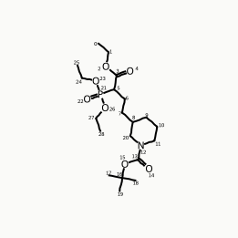 CCOC(=O)C(CCC1CCCN(C(=O)OC(C)(C)C)C1)P(=O)(OCC)OCC